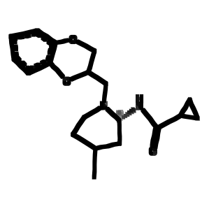 CC1CCN(CC2COc3ccccc3O2)[C@H](NC(=O)C2CC2)C1